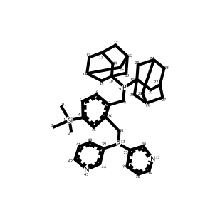 C[Si](C)(C)c1ccc(CP(C23CC4CC(CC(C4)C2)C3)C23CC4CC(CC(C4)C2)C3)c(CP(c2cccnc2)c2cccnc2)c1